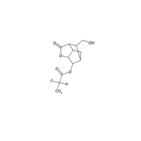 CC(F)(F)C(=O)OC1C2CC3C1OC(=O)C3C2CO